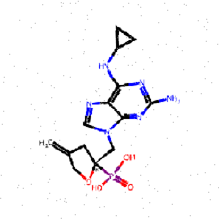 C=C1CO[C@@](Cn2cnc3c(NC4CC4)nc(N)nc32)(P(=O)(O)O)C1